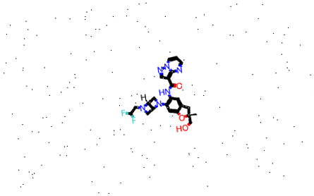 C[C@]1(CO)Cc2cc(NC(=O)c3cnn4cccnc34)c(N3C[C@H]4C3CN4CC(F)F)cc2O1